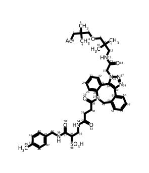 CC(=O)CC(C)(C)COCC(C)(C)CNC(=O)Cn1nnc2c1-c1ccccc1N(C(=O)CCC(=O)NCC(C(=O)NCc1ccc(C)cc1)S(=O)(=O)O)Cc1ccccc1-2